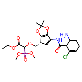 CCOC(=O)C(OC[C@H]1C=C(NC(=O)C2C(Cl)=CCCC2N)C2=C1OC(C)(C)O2)P(=O)(OC)OC